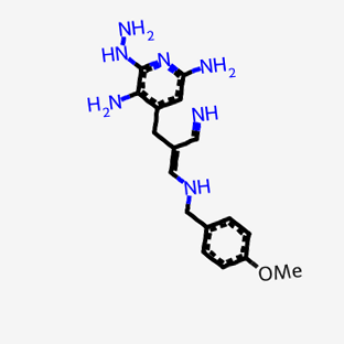 COc1ccc(CN/C=C(\C=N)Cc2cc(N)nc(NN)c2N)cc1